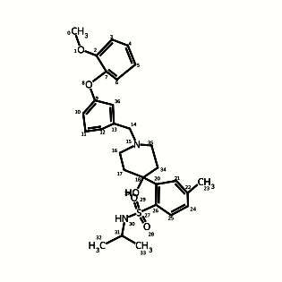 COc1ccccc1Oc1cccc(CN2CCC(O)(c3cc(C)ccc3S(=O)(=O)NC(C)C)CC2)c1